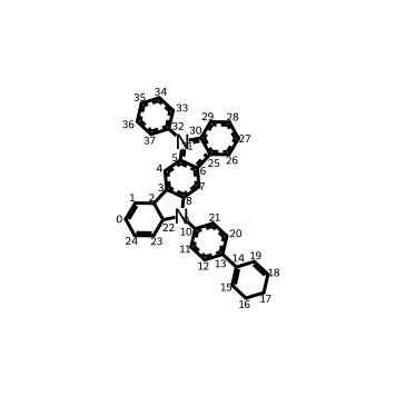 C1=CC2c3cc4c(cc3N(c3ccc(C5=CCCC=C5)cc3)C2C=C1)c1ccccc1n4-c1ccccc1